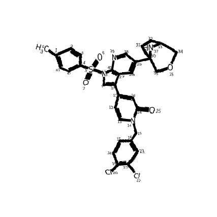 Cc1ccc(S(=O)(=O)n2cc(-c3ccn(Cc4ccc(Cl)c(Cl)c4)c(=O)c3)c3cc(C45CCC(COC4)N5)cnc32)cc1